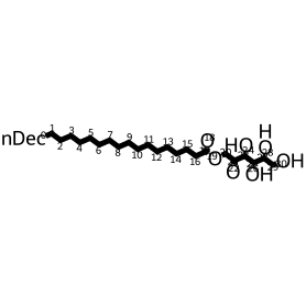 CCCCCCCCCCCCCCCCCCCCCCCCCCC(=O)OCC(=O)[C@H](O)[C@@H](O)[C@H](O)CO